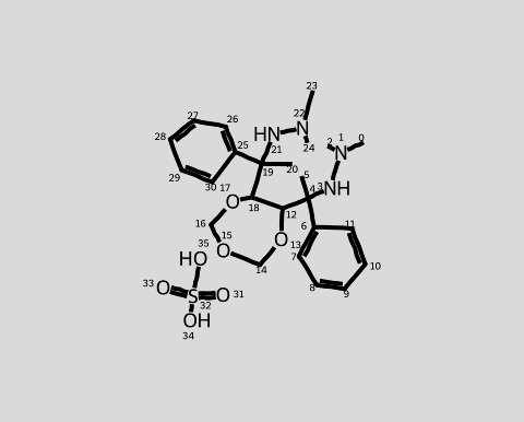 CN(C)NC(C)(c1ccccc1)C1OCOCOC1C(C)(NN(C)C)c1ccccc1.O=S(=O)(O)O